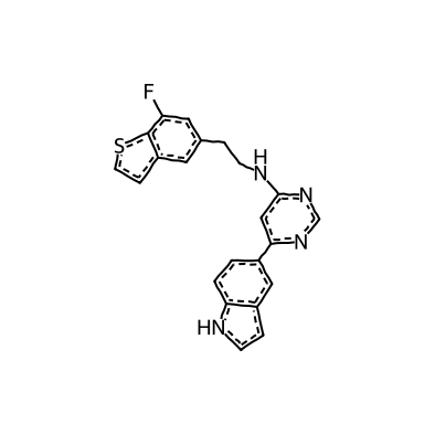 Fc1cc(CCNc2cc(-c3ccc4[nH]ccc4c3)ncn2)cc2ccsc12